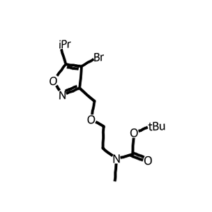 CC(C)c1onc(COCCN(C)C(=O)OC(C)(C)C)c1Br